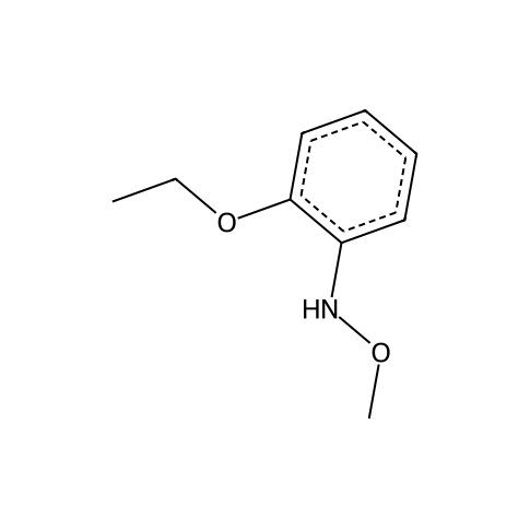 CCOc1ccccc1NOC